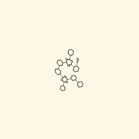 N#Cc1ccccc1-c1nc(-c2ccccc2)nc(-c2cccc(-c3cccc(-c4nc(-c5ccccc5)nc(-c5cccc(-c6ccccc6)c5)n4)c3)c2)n1